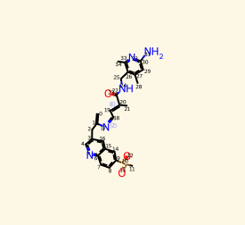 C=C(Cc1cnc2ccc(S(C)(=O)=O)cc2c1)/N=C\C=C(/C)C(=O)NCc1c(C)cc(N)nc1C